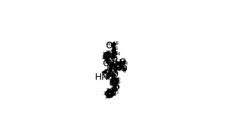 COc1cc2nc(N3CCNCC3C(=O)c3ccc(OC(C)(C)c4ccccc4)cc3)nc(NC(=O)[C@@H]3CCCN3C(=O)C(C)CSC(C)=O)c2cc1OC